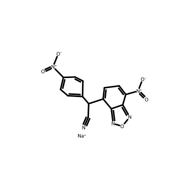 N#CC(c1ccc([N+](=O)[O-])cc1)c1ccc([N+](=O)[O-])c2nonc12.[Na+]